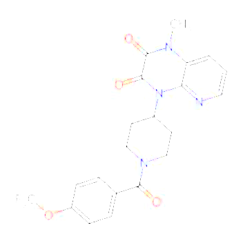 Cn1c(=O)c(=O)n(C2CCN(C(=O)c3ccc(OC(F)(F)F)cc3)CC2)c2ncccc21